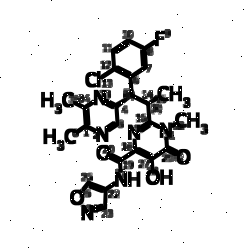 Cc1ncc([C@@H](c2cc(F)ccc2Cl)[C@@H](C)c2nc(C(=O)Nc3cnoc3)c(O)c(=O)n2C)nc1C